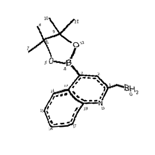 Bc1cc(B2OC(C)(C)C(C)(C)O2)c2ccccc2n1